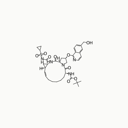 CC(C)(C)OC(=O)N[C@H]1CCCCC/C=C\[C@@H]2C[C@@]2(C(=O)NS(=O)(=O)C2CC2)NC(=O)[C@@H]2C[C@@H](Oc3nccc4cc(CO)ccc34)CN2C1=O